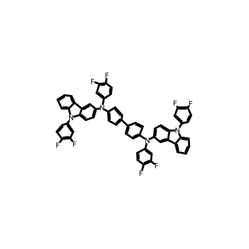 Fc1ccc(N(c2ccc(-c3ccc(N(c4ccc(F)c(F)c4)c4ccc5c(c4)c4ccccc4n5-c4ccc(F)c(F)c4)cc3)cc2)c2ccc3c(c2)c2ccccc2n3-c2ccc(F)c(F)c2)cc1F